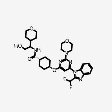 O=C(NC(CO)C1CCOCC1)[C@H]1CC[C@H](Oc2cc(-n3c(C(F)F)nc4ccccc43)nc(N3CCOCC3)n2)CC1